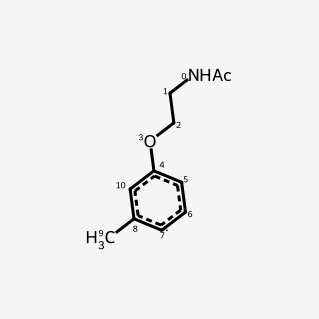 CC(=O)NCCOc1cc[c]c(C)c1